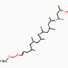 CCCCCCCCCOCOCCCC(C)CC(C)CC(C)CC(C)CC(C)CC(C)CC(C)CC(C)O